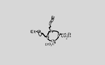 CCOOCCN1CCCN(CC(=O)OCC)CCN(CC(=O)OCC)CCCN(CCOOCC)CC1